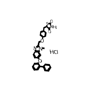 Cl.Cn1c(COc2ccc(CC3SC(=O)NC3=O)cc2)nc2ccc(Oc3ccccc3-c3ccccc3)cc21